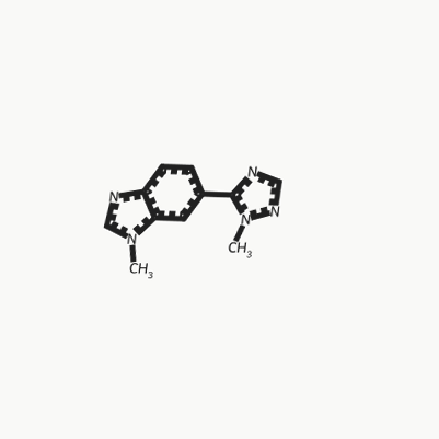 Cn1ncnc1-c1ccc2ncn(C)c2c1